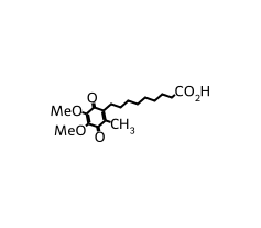 COC1=C(OC)C(=O)C(CCCCCCCCC(=O)O)=C(C)C1=O